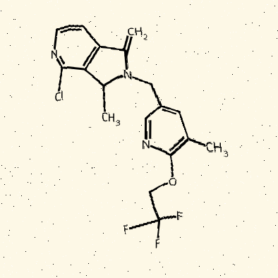 C=C1c2ccnc(Cl)c2C(C)N1Cc1cnc(OCC(F)(F)F)c(C)c1